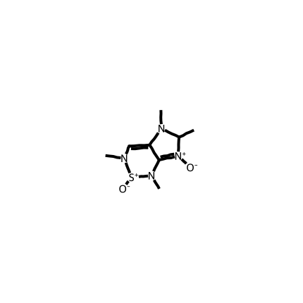 CC1N(C)C2=CN(C)[S+]([O-])N(C)C2=[N+]1[O-]